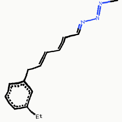 CCc1cccc(C/C=C/C=C/C=N/N=N/C)c1